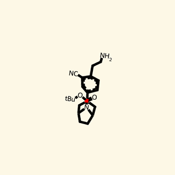 CC(C)(C)OC(=O)N1C2CCC1CN(c1ccc(CCN)c(C#N)c1)C2